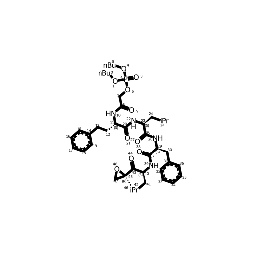 CCCCOP(=O)(OCCCC)OCC(=O)N[C@@H](CCc1ccccc1)C(=O)N[C@@H](CC(C)C)C(=O)N[C@@H](Cc1ccccc1)C(=O)N[C@@H](CC(C)C)C(=O)[C@@]1(C)CO1